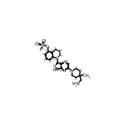 CC1(CN)CCN(c2cnc3c(N4CCCc5c(OS(=O)(=O)F)cccc54)n[nH]c3n2)CC1